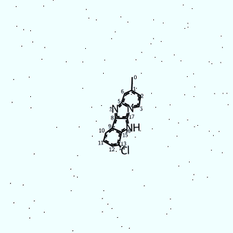 Cc1ccn2c(c1)nc1c3cccc(Cl)c3[nH]c12